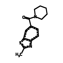 Cc1nc2ccc(C(=O)N3CCCCC3)cc2s1